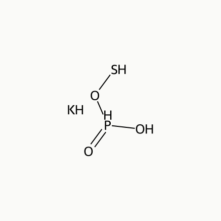 O=[PH](O)OS.[KH]